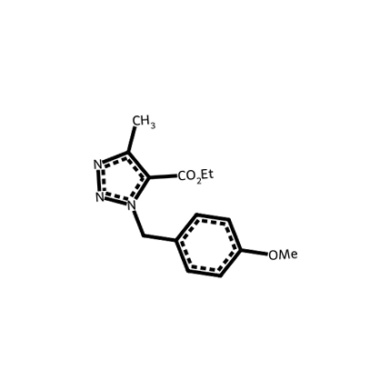 CCOC(=O)c1c(C)nnn1Cc1ccc(OC)cc1